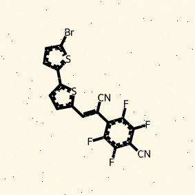 N#C/C(=C\c1ccc(-c2ccc(Br)s2)s1)c1c(F)c(F)c(C#N)c(F)c1F